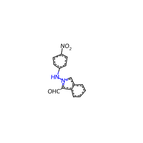 O=Cc1c2ccccc2cn1Nc1ccc([N+](=O)[O-])cc1